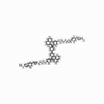 C=Cc1ccc(COCCCCCCc2ccc(N(c3ccc(-c4ccc(N(c5ccc(CCCCCCOCc6ccc(C=C)cc6)cc5)c5cccc6ccccc56)cc4)cc3)c3cccc4ccccc34)cc2)cc1